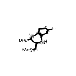 CSCC1Nc2cc(F)ccc2NC1C=O